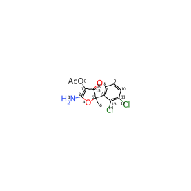 CC(=O)OC1=C(N)OC(C)(c2cccc(Cl)c2Cl)C1=O